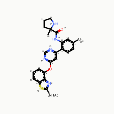 CC(=O)Nc1nc2c(Oc3cc(-c4ccc(C(F)(F)F)cc4NC(=O)C4(C)CCCN4)ncn3)cccc2s1